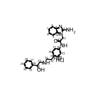 Cl.Cl.Nc1nc2ccccc2n1CC(=O)Nc1ccc(CCNCC(O)c2ccccc2)cc1